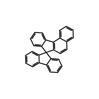 c1ccc2c(c1)-c1ccccc1C21c2ccccc2-c2c1ccc1ccccc21